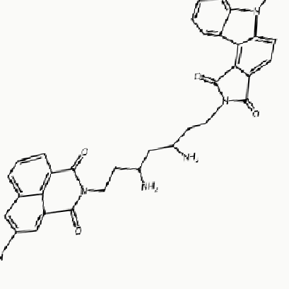 Cn1c2ccccc2c2c3c(ccc21)C(=O)N(CCC(N)CC(N)CCN1C(=O)c2cccc4cc([N+](=O)[O-])cc(c24)C1=O)C3=O